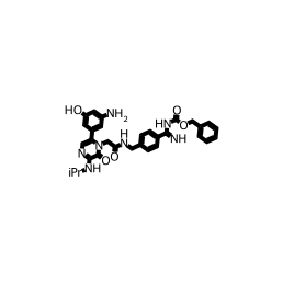 CC(C)Nc1ncc(-c2cc(N)cc(O)c2)n(CC(=O)NCc2ccc(C(=N)NC(=O)OCc3ccccc3)cc2)c1=O